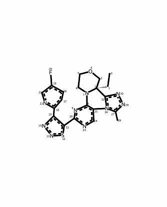 CC[C@@]12COCCN1c1nc(-c3snnc3-c3ccc(F)cn3)ncc1-n1c(C)nnc12